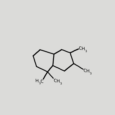 C[C]1CC2C(CCCC2(C)C)CC1C